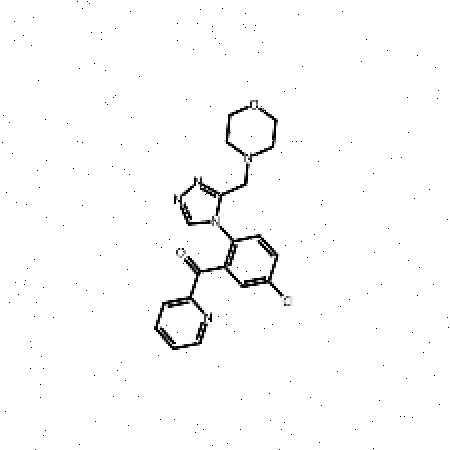 O=C(c1ccccn1)c1cc(Cl)ccc1-n1cnnc1CN1CCOCC1